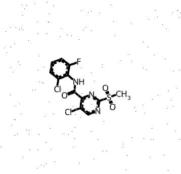 CS(=O)(=O)c1ncc(Cl)c(C(=O)Nc2c(F)cccc2Cl)n1